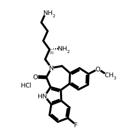 COc1ccc2c(c1)CN(C[C@@H](N)CCCN)C(=O)c1[nH]c3ccc(F)cc3c1-2.Cl